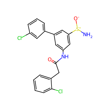 N[S+]([O-])c1cc(NC(=O)Cc2ccccc2Cl)cc(-c2cccc(Cl)c2)c1